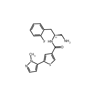 Cn1nccc1-c1cc(C(=O)N[C@H](CN)Cc2ccccc2F)cs1